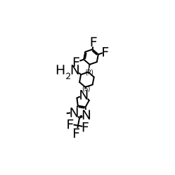 Cn1c(C(F)(F)F)nc2c1CN([C@H]1CC[C@H](C3CC(F)=C(F)C=C3F)C(N)C1)C2